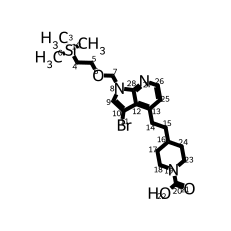 C[Si](C)(C)CCOCn1cc(Br)c2c(CCC3CCN(C(=O)O)CC3)ccnc21